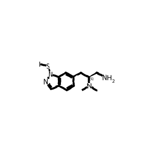 CN(C)[C@H](CN)Cc1ccc2cnn(SI)c2c1